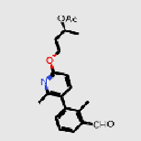 CC(=O)O[C@@H](C)CCOc1ccc(-c2cccc(C=O)c2C)c(C)n1